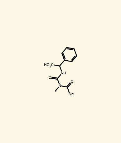 CCCC(=O)N(C)C(=O)NC(C(=O)O)c1ccccc1